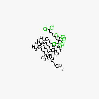 CCCCCC.CCCCCC.CCCCCC.CCCCCC.CCCCCC.ClC(Cl)CCCCCC(C(Cl)Cl)(C(Cl)Cl)C(Cl)Cl